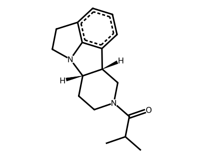 CC(C)C(=O)N1CC[C@H]2[C@@H](C1)c1cccc3c1N2CC3